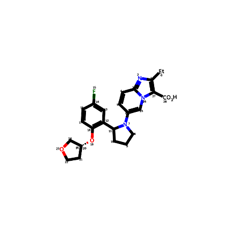 CCc1nc2ccc(N3CCCC3c3cc(F)ccc3O[C@@H]3CCOC3)cn2c1C(=O)O